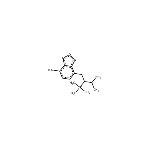 CC(N)C(Cc1ccc([N+](=O)[O-])c2nonc12)[N+](C)(C)C